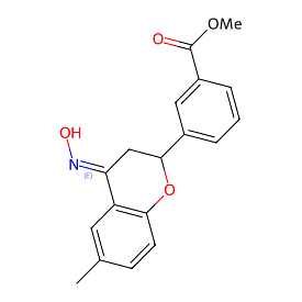 COC(=O)c1cccc(C2C/C(=N\O)c3cc(C)ccc3O2)c1